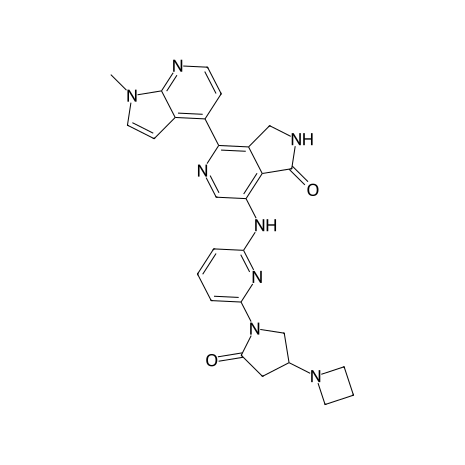 Cn1ccc2c(-c3ncc(Nc4cccc(N5CC(N6CCC6)CC5=O)n4)c4c3CNC4=O)ccnc21